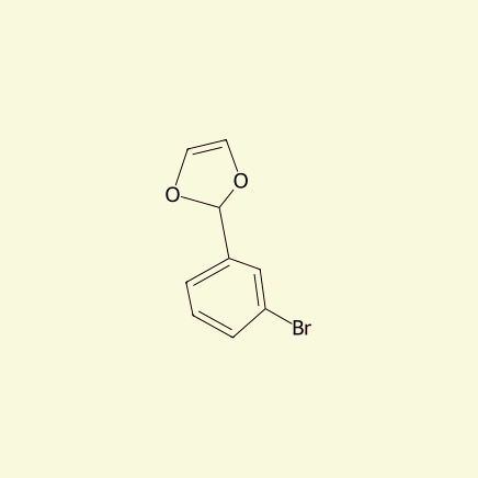 Brc1cccc(C2OC=CO2)c1